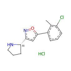 Cc1c(Cl)cccc1-c1cc([C@@H]2CCCN2)no1.Cl